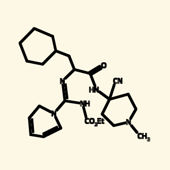 CCOC(=O)NC(=NC(CC1CCCCC1)C(=O)NC1(C#N)CCN(C)CC1)N1C=CC=CC1